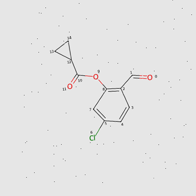 O=Cc1ccc(Cl)cc1OC(=O)C1CC1